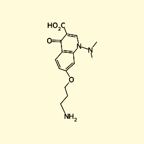 CN(C)n1cc(C(=O)O)c(=O)c2ccc(OCCCN)cc21